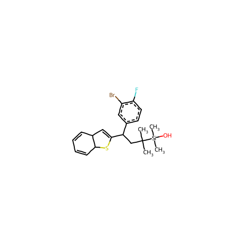 CC(C)(CC(C1=CC2C=CC=CC2S1)c1ccc(F)c(Br)c1)[Si](C)(C)O